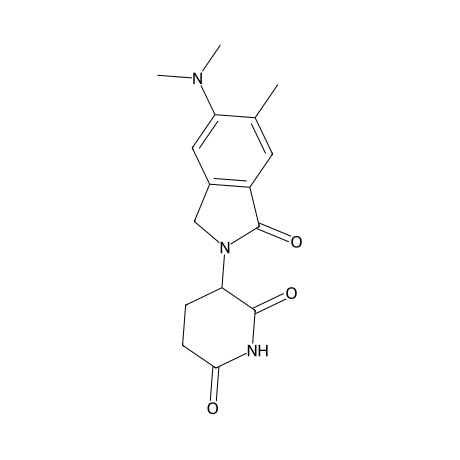 Cc1cc2c(cc1N(C)C)CN(C1CCC(=O)NC1=O)C2=O